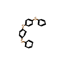 c1ccc(Sc2ccc(Sc3ccc(Sc4ccccc4)cc3)cc2)cc1